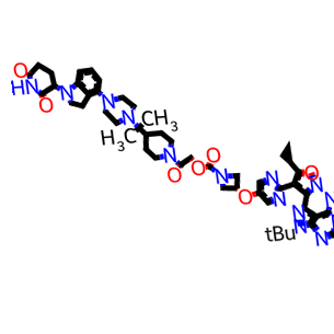 CC(C)(C1CCN(C(=O)COC(=O)N2CC(Oc3cnc(-c4c(-c5nn(C(C)(C)C)c6ncnc(N)c56)noc4C4CC4)nc3)C2)CC1)N1CCN(c2cccc3c2CCN3C2CCC(=O)NC2=O)CC1